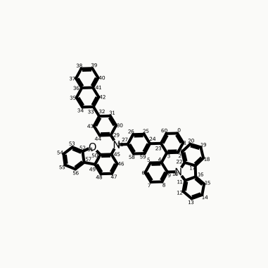 c1ccc(-c2ccccc2-n2c3ccccc3c3ccccc32)c(-c2ccc(N(c3ccc(-c4ccc5ccccc5c4)cc3)c3cccc4c3oc3ccccc34)cc2)c1